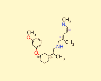 C=N/C=C\C=C(/C)CNCC(C)[C@H]1CCC[C@@H](Oc2cccc(OC)c2)C1